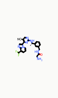 C[C@H](Nc1ncc(C#N)c(-c2cnc3c(C(F)F)cccn23)n1)c1cccc(CNC(=O)CN)c1